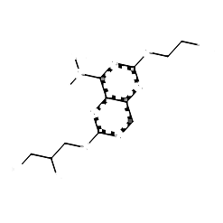 CCCNc1nc(N(C)C)c2nc(NCC(O)CO)ncc2n1